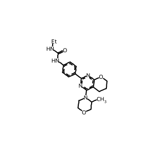 CCNC(=O)Nc1ccc(-c2nc3c(c(N4CCOCC4C)n2)CCCO3)cc1